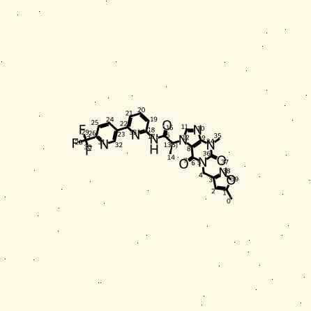 Cc1cc(Cn2c(=O)c3c(ncn3[C@@H](C)C(=O)Nc3cccc(-c4ccc(C(F)(F)F)nc4)n3)n(C)c2=O)no1